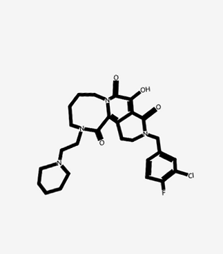 O=C1c2c(c3n(c(=O)c2O)CCCCN(CCN2CCCCC2)C3=O)CCN1Cc1ccc(F)c(Cl)c1